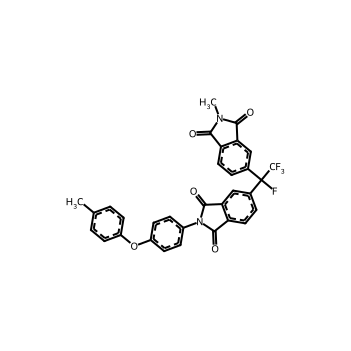 Cc1ccc(Oc2ccc(N3C(=O)c4ccc(C(F)(c5ccc6c(c5)C(=O)N(C)C6=O)C(F)(F)F)cc4C3=O)cc2)cc1